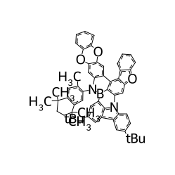 Cc1cc2c(cc1N1B3c4c(cc5oc6ccccc6c5c4-c4cc5c(cc41)Oc1ccccc1O5)-n1c4ccc(C(C)(C)C)cc4c4cc(C(C)(C)C)cc3c41)C(C)(C)CCC2(C)C